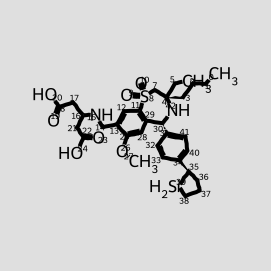 CCCC[C@]1(CC)CS(=O)(=O)c2cc(CNC(CC(=O)O)CC(=O)O)c(OC)cc2[C@@H](c2ccc([C@H]3CCC[SiH2]3)cc2)N1